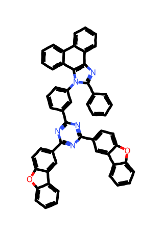 c1ccc(-c2nc3c4ccccc4c4ccccc4c3n2-c2cccc(-c3nc(-c4ccc5oc6ccccc6c5c4)nc(-c4ccc5oc6ccccc6c5c4)n3)c2)cc1